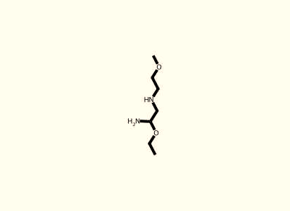 CCOC(N)CNCCOC